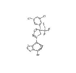 FC(F)(F)C1(c2cc(Cl)cc(Cl)c2)CC(c2ccc(Br)c3ccsc23)=NO1